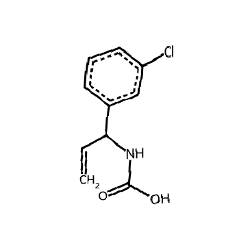 C=CC(NC(=O)O)c1cccc(Cl)c1